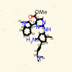 COC(=O)c1cnc(Nc2cc(N)c(C#CCN(C)C)cc2C)nc1-c1cn(C)c2ccccc12